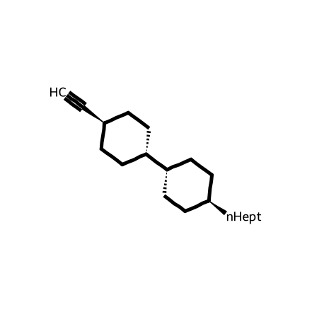 C#C[C@H]1CC[C@H]([C@H]2CC[C@H](CCCCCCC)CC2)CC1